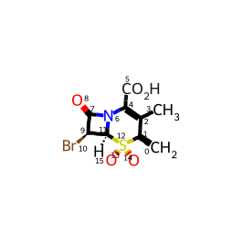 C=C1C(C)=C(C(=O)O)N2C(=O)[C@H](Br)[C@@H]2S1(=O)=O